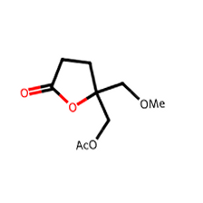 COCC1(COC(C)=O)CCC(=O)O1